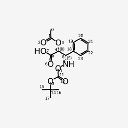 CC(=O)O[C@@H](C(=O)O)[C@@H](NOC(=O)OC(C)(C)C)c1ccccc1